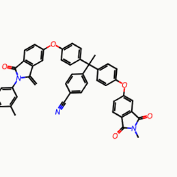 C=C1c2cc(Oc3ccc(C(C)(c4ccc(C#N)cc4)c4ccc(Oc5ccc6c(c5)C(=O)N(C)C6=O)cc4)cc3)ccc2C(=O)N1c1cccc(C)c1